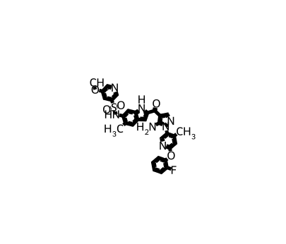 COc1cncc(S(=O)(=O)Nc2cc3[nH]c(C(=O)c4cnn(-c5cnc(Oc6ccccc6F)cc5C)c4N)cc3cc2C)c1